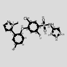 Cn1nccc1-c1cc(F)ccc1Oc1cc(F)c(S(=O)(=O)Nc2csnn2)cc1Cl